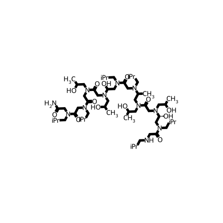 CC(C)CNCC(=O)N(CC(C)C)C[C@@H](O)N(CC(=O)N(CC(C)O)CC(C)N(CC(=O)N(CC(C)C)CC(O)N(CC(=O)N(CC(=O)N(CC(=O)N(CC(N)=O)CC(C)C)CC(C)C)CC(C)O)CC(C)O)CC(C)C)CC(C)O